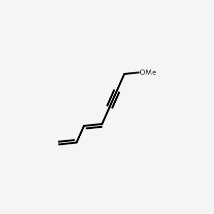 C=C/C=C/C#CCOC